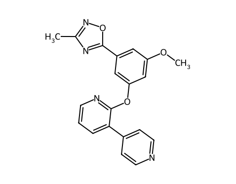 COc1cc(Oc2ncccc2-c2ccncc2)cc(-c2nc(C)no2)c1